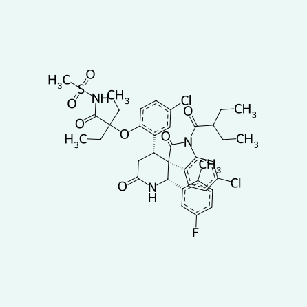 CCC(CC)C(=O)N1C(=O)[C@]2(c3ccc(Cl)cc31)[C@@H](c1cc(Cl)ccc1OC(CC)(CC)C(=O)NS(C)(=O)=O)CC(=O)N[C@H]2c1cc(F)ccc1C